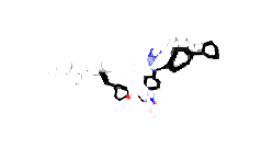 CON=C(c1ccc(-c2ccccc2)cc1)c1ccc2c(c1)sc(=O)n2CCOc1ccc(C=C(C(=O)O)C(=O)O)cc1